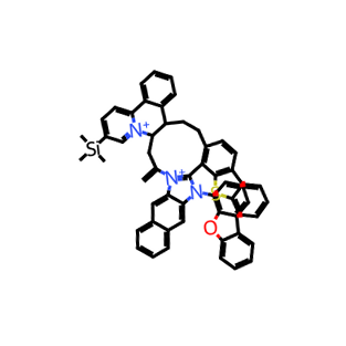 C=C1CC2C(CCc3ccc4c(sc5ccccc54)c3-c3n(-c4cccc5c4oc4ccccc45)c4cc5ccccc5cc4[n+]31)c1ccccc1-c1ccc([Si](C)(C)C)c[n+]12